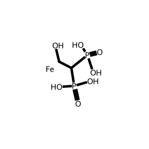 O=P(O)(O)C(CO)P(=O)(O)O.[Fe]